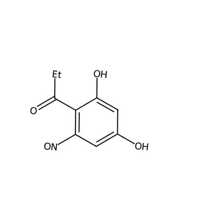 CCC(=O)c1c(O)cc(O)cc1N=O